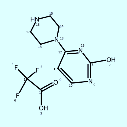 O=C(O)C(F)(F)F.Oc1nccc(N2CCNCC2)n1